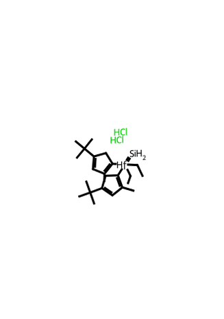 C[CH2][Hf](=[SiH2])([CH2]C)([C]1=C(C)C=C(C(C)(C)C)C1)[C]1=C(C)C=C(C(C)(C)C)C1.Cl.Cl